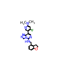 CN(C)c1cc(F)c(-c2cnc(NCc3cccc4c3CCO4)n3cnnc23)cn1